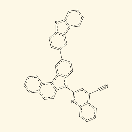 N#Cc1cc(-n2c3ccc(-c4ccc5sc6ccccc6c5c4)cc3c3c4ccccc4ccc32)nc2ccccc12